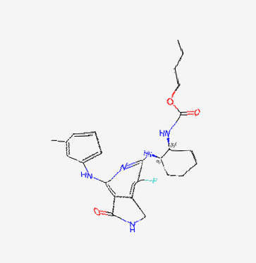 CCCCOC(=O)N[C@H]1CCCC[C@H]1Nc1nc(Nc2cccc(C)c2)c2c(c1F)CNC2=O